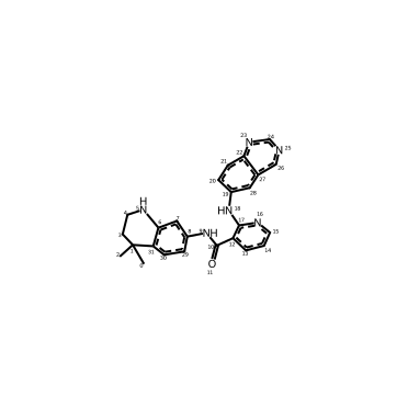 CC1(C)CCNc2cc(NC(=O)c3cccnc3Nc3ccc4ncncc4c3)ccc21